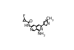 Cn1cc(-c2cc3cc(NC(=O)C4CC4F)ncc3c(N)n2)cn1